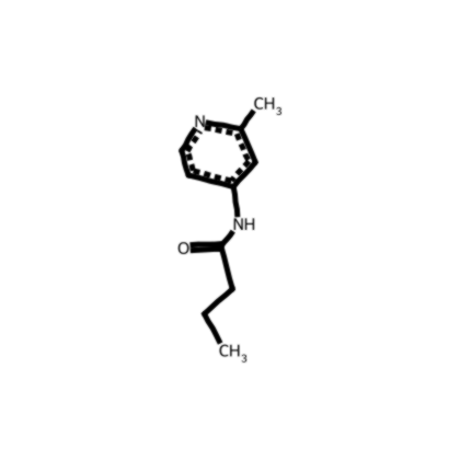 CCCC(=O)Nc1ccnc(C)c1